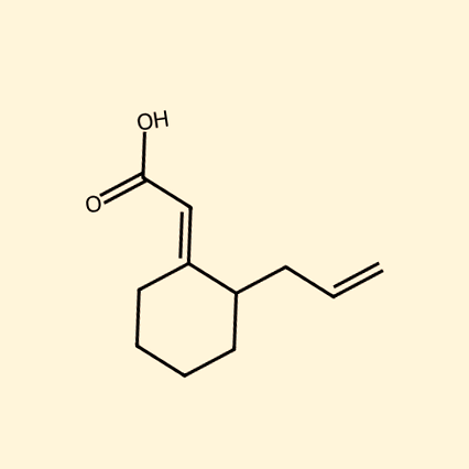 C=CCC1CCCC/C1=C\C(=O)O